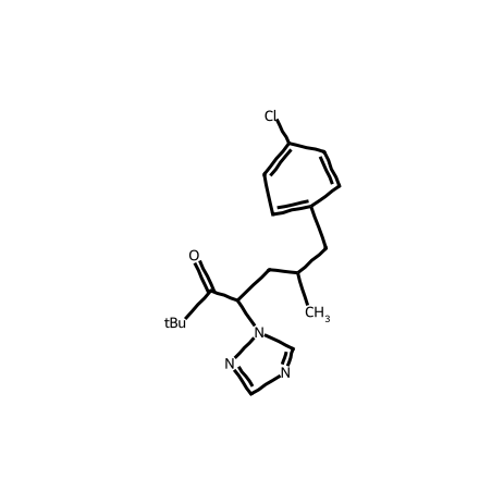 CC(Cc1ccc(Cl)cc1)CC(C(=O)C(C)(C)C)n1cncn1